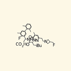 CCC(C)CC(C(=O)NC(CC(=O)O)c1cc(-c2c(C)cccc2C)cc(C)c1F)n1nc(CCN2CC(CF)C2)cc(C)c1=O